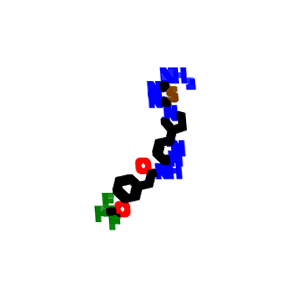 Nc1nnc(N2CCC(c3ccc(NC(=O)Cc4cccc(OC(F)(F)F)c4)nn3)C2)s1